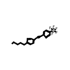 CCCCCc1ccc(C#Cc2ccc(S(F)(F)(F)(F)F)cc2)cc1